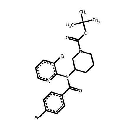 CC(C)(C)OC(=O)N1CCCC(N(C(=O)c2ccc(Br)cc2)c2ncccc2Cl)C1